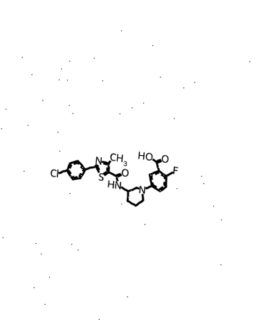 Cc1nc(-c2ccc(Cl)cc2)sc1C(=O)NC1CCCN(c2ccc(F)c(C(=O)O)c2)C1